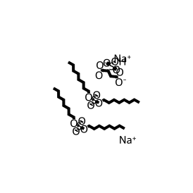 CCCCCCCCOS(=O)(=O)OCCCCCCCC.CCCCCCCCOS(=O)(=O)OCCCCCCCC.O=C([O-])CC(C(=O)[O-])S(=O)(=O)O.[Na+].[Na+]